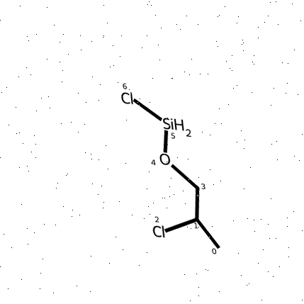 CC(Cl)CO[SiH2]Cl